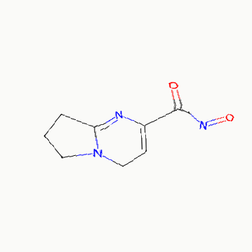 O=NC(=O)C1=CCN2CCCC2=N1